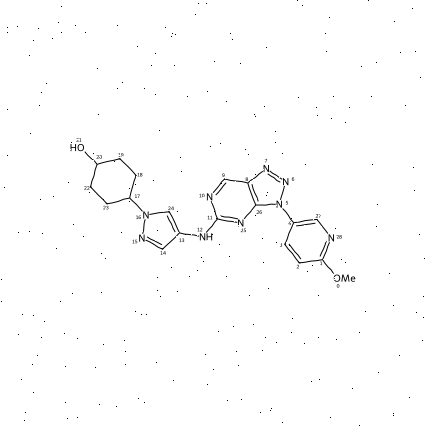 COc1ccc(-n2nnc3cnc(Nc4cnn(C5CCC(O)CC5)c4)nc32)cn1